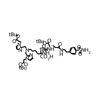 CC(C)(C)OC(=O)Cn1ccnc1CN(CCCC[C@@](NC(=O)N[C@@H](CCC(=O)NCCc1ccc(S(N)(=O)=O)cc1)C(=O)OC(C)(C)C)(C(=O)O)C(C)(C)C)Cc1nccn1CC(=O)OC(C)(C)C